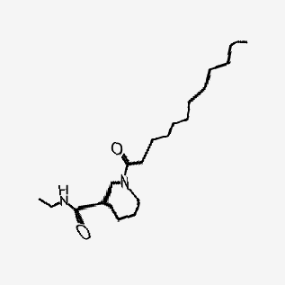 CCCCCCCCCCCC(=O)N1CCCC(C(=O)NCC)C1